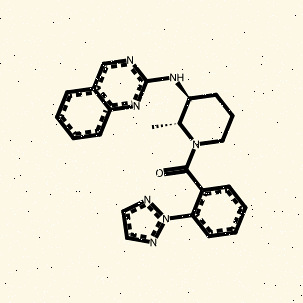 C[C@@H]1[C@@H](Nc2ncc3ccccc3n2)CCCN1C(=O)c1ccccc1-n1nccn1